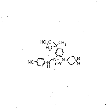 CCCN(c1ccc(C(C)(C)CC(=O)O)cc1NCNc1ccc(C#N)cc1)C1CCS(=O)(=O)CC1